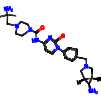 CC(C)(N)CN1CCN(C(=O)Nc2ccn(-c3ccc(CN4C[C@@H]5[C@@H](N)[C@@H]5C4)cc3)c(=O)n2)CC1